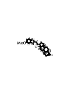 COc1ccc2nn(CC(=O)[C@H]3CC[C@H]4[C@@H]5CC[C@H]6C7C[C@@]7(O)CC[C@@H]6[C@H]5CC[C@]34C)nc2c1